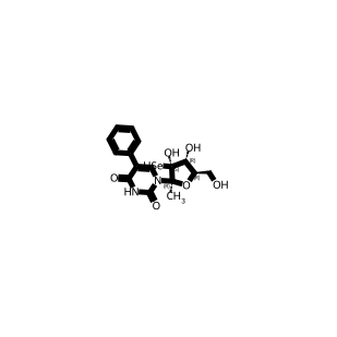 C[C@@]1(n2cc(-c3ccccc3)c(=O)[nH]c2=O)O[C@H](CO)[C@@H](O)[C@]1(O)[SeH]